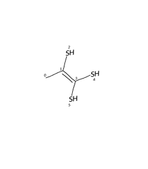 CC(S)=C(S)S